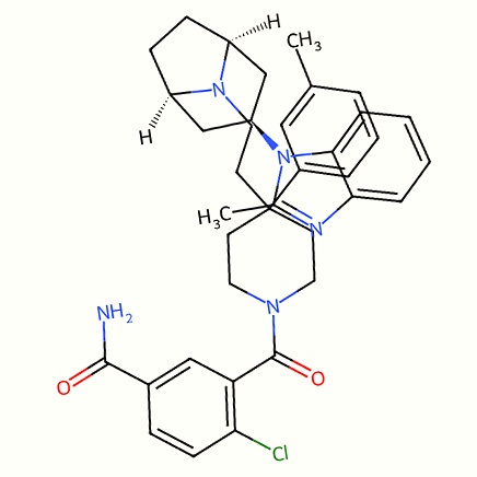 Cc1cccc(C2(CCN3[C@@H]4CC[C@H]3C[C@@H](n3c(C)nc5ccccc53)C4)CCN(C(=O)c3cc(C(N)=O)ccc3Cl)CC2)c1